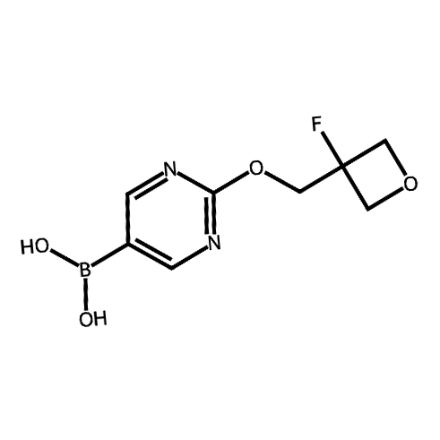 OB(O)c1cnc(OCC2(F)COC2)nc1